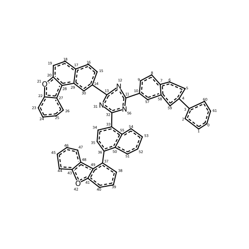 c1ccc(-c2ccc3ccc(-c4nc(-c5ccc6ccc7oc8ccccc8c7c6c5)nc(-c5ccc(-c6cccc7oc8ccccc8c67)c6ccccc56)n4)cc3c2)cc1